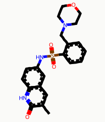 Cc1cc2cc(NS(=O)(=O)c3ccccc3CN3CCOCC3)ccc2[nH]c1=O